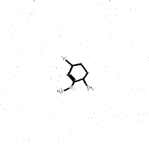 COC1=CC(F)CCC1C